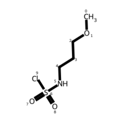 COCCCNS(=O)(=O)Cl